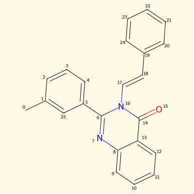 Cc1cccc(-c2nc3ccccc3c(=O)n2C=Cc2ccccc2)c1